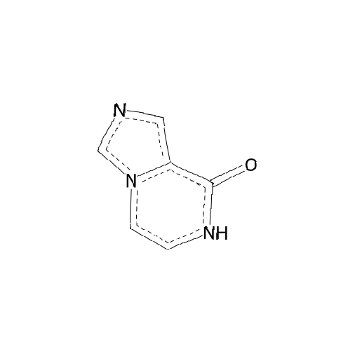 O=c1[nH]ccn2cncc12